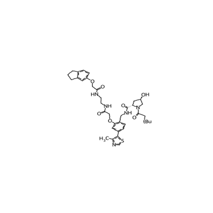 Cc1ncsc1-c1ccc(CNC(=O)[C@@H]2C[C@@H](O)CN2C(=O)CC(C)(C)C)c(OCC(=O)NCCNC(=O)COc2ccc3c(c2)CCC3)c1